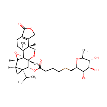 CC1O[C@H](CSCCCC(=O)O[C@@H]2[C@@]3(C(C)C)C[C@H]3[C@@H]3O[C@@]34[C@@]3(C)CCC5=C(COC5=O)[C@@H]3CO[C@]24C)[C@@H](O)[C@H](O)[C@H]1O